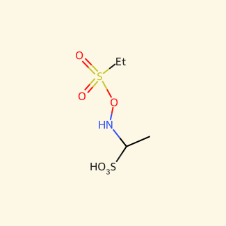 CCS(=O)(=O)ONC(C)S(=O)(=O)O